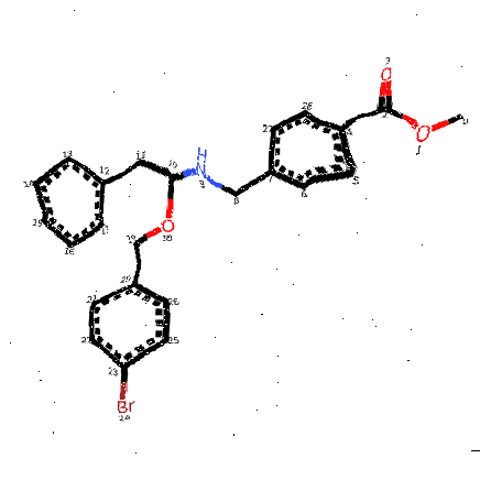 COC(=O)c1ccc(CNC(Cc2ccccc2)OCc2ccc(Br)cc2)cc1